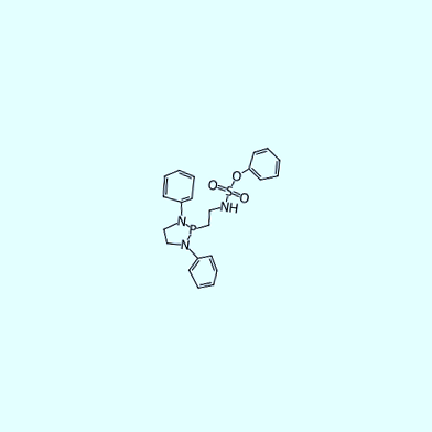 O=S(=O)(NCCP1N(c2ccccc2)CCN1c1ccccc1)Oc1ccccc1